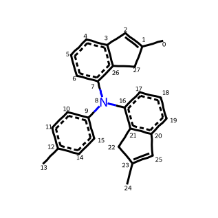 CC1=Cc2cccc(N(c3ccc(C)cc3)c3cccc4c3CC(C)=C4)c2C1